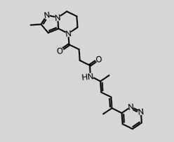 C/C(=C\C=C(/C)c1cccnn1)NC(=O)CCC(=O)N1CCCn2nc(C)cc21